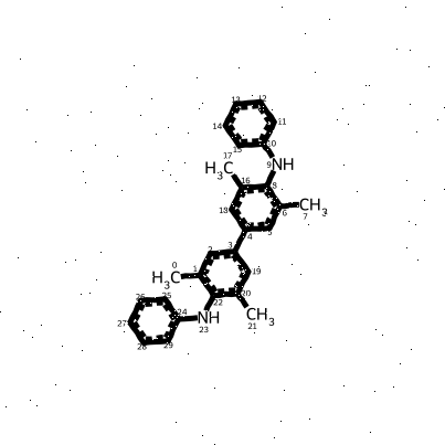 Cc1cc(-c2cc(C)c(Nc3ccccc3)c(C)c2)cc(C)c1Nc1ccccc1